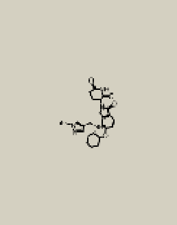 CC(C)n1cc(CN[C@H]2CCCC[C@@H]2Oc2ccc3c(c2)CN(C2CCC(=O)NC2=O)C3=O)cn1